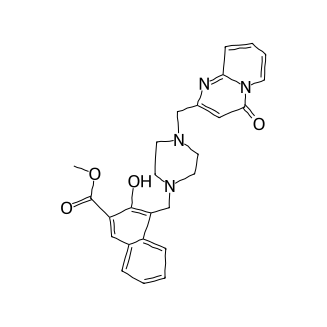 COC(=O)c1cc2ccccc2c(CN2CCN(Cc3cc(=O)n4ccccc4n3)CC2)c1O